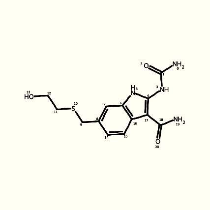 NC(=O)Nc1[nH]c2cc(CSCCO)ccc2c1C(N)=O